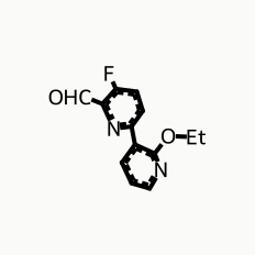 CCOc1ncccc1-c1ccc(F)c(C=O)n1